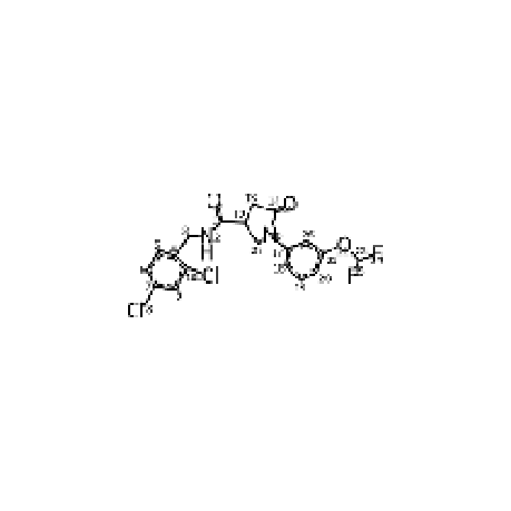 O=C(NCc1ccc(Cl)cc1Cl)C1CC(=O)N(c2cccc(OC(F)F)c2)C1